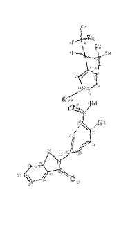 O=C(Nc1ccc(C(F)(C(F)(F)F)C(F)(F)F)cc1Br)c1cc(N2Cc3ccccc3C2=O)ccc1Cl